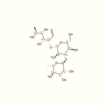 C[C@H](O)[C@H](O)[C@@H](O)[C@H](C=O)O[C@@H]1O[C@H](CO)[C@@H](O)[C@H](O[C@@H]2O[C@@H](C)[C@H](O)[C@@H](O)[C@H]2O)[C@H]1N